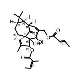 C/C=C(/C)C(=O)O[C@H]1C(C)=C[C@]23C(=O)[C@@H](C=C(COC(=O)/C=C/C)[C@@H](O)[C@]12O)[C@H]1[C@@H](C[C@H]3C)C1(C)C